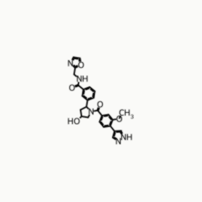 COc1cc(C(=O)N2CC(O)CC2c2cccc(C(=O)NCc3ncco3)c2)ccc1-c1cn[nH]c1